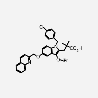 CC(C)Oc1c(CC(C)(C)C(=O)O)n(Cc2ccc(Cl)cc2)c2ccc(OCc3ccc4ccccc4n3)cc12